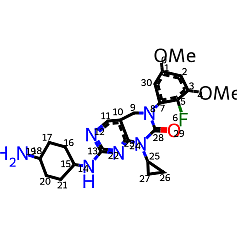 COc1cc(OC)c(F)c(N2Cc3cnc(NC4CCC(N)CC4)nc3N(C3CC3)C2=O)c1